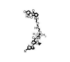 CC(C)(OCCNCCOCCNc1cccc2c1C(=O)N(C1CCC(=O)NC1=O)C2=O)C(F)CNC(=O)c1cnc(-n2ncc3cc(C#N)cnc32)cc1NC1CC1